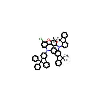 CC1(C)c2ccccc2-c2ccc(N(c3ccc4oc5c(Cl)ccc(N(c6ccccc6)c6ccc7c(c6)-c6ccccc6C7(c6ccccc6)c6ccccc6)c5c4c3)c3cccc4c3C(C)(C)c3ccccc3-4)cc21